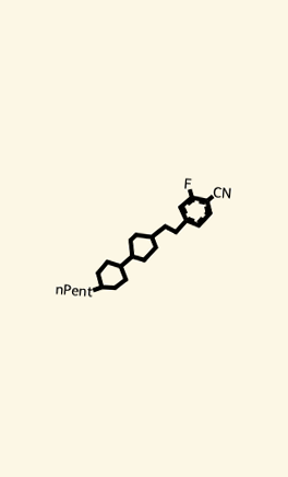 CCCCCC1CCC(C2CCC(CCc3ccc(C#N)c(F)c3)CC2)CC1